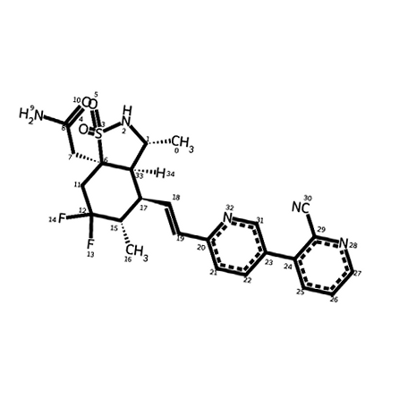 C[C@H]1NS(=O)(=O)[C@]2(CC(N)=O)CC(F)(F)[C@@H](C)[C@H](/C=C/c3ccc(-c4cccnc4C#N)cn3)[C@H]12